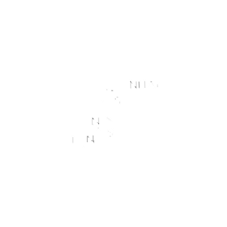 CC(=O)NC(C)c1ccc(-c2csc(N)n2)s1